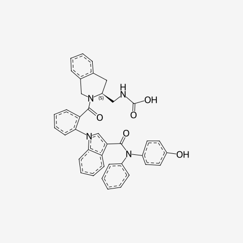 O=C(O)NC[C@@H]1Cc2ccccc2CN1C(=O)c1ccccc1-n1cc(C(=O)N(c2ccccc2)c2ccc(O)cc2)c2ccccc21